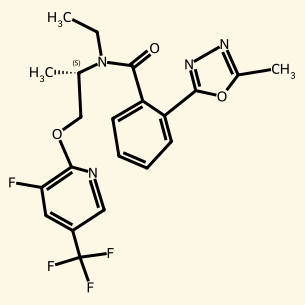 CCN(C(=O)c1ccccc1-c1nnc(C)o1)[C@@H](C)COc1ncc(C(F)(F)F)cc1F